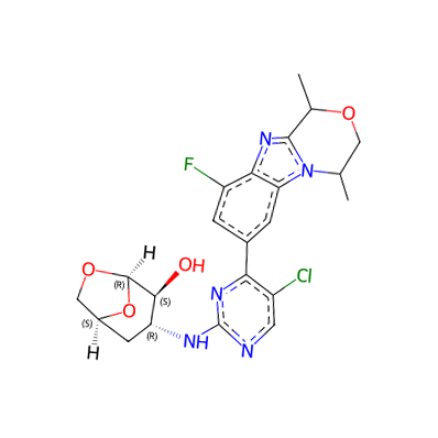 CC1OCC(C)n2c1nc1c(F)cc(-c3nc(N[C@@H]4C[C@H]5CO[C@H](O5)[C@H]4O)ncc3Cl)cc12